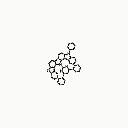 c1ccc(-c2cc(-c3ccccc3)nc(-n3c4c(ccc5oc6ccccc6c54)c4ccc5c(c6ccccc6n5-c5ccccc5)c43)n2)cc1